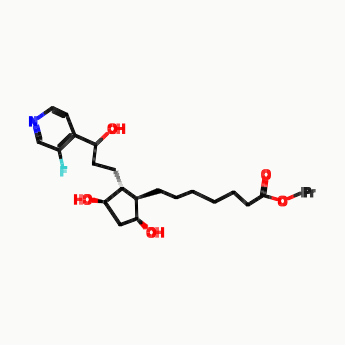 CC(C)OC(=O)CCCCCC[C@@H]1[C@@H](CCC(O)c2ccncc2F)[C@H](O)C[C@@H]1O